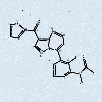 CC(=O)N(C)c1cccc(-c2ccnc3c(C(=O)c4cccs4)cnn23)c1F